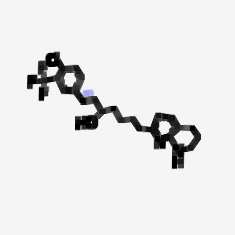 OC(/C=C/c1ccc(Cl)c(C(F)(F)F)c1)CCCCc1ccc2c(n1)NCCC2